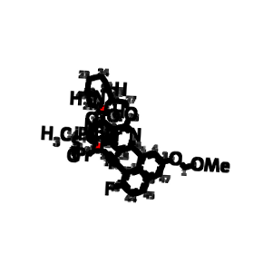 COCOc1cc(-c2nc3c4c(nc([S+](C)[O-])nc4c2F)N2C[C@H]4CC[C@@H]([C@H]2CO3)N4C(=O)OC(C)(C)C)c2c(C#C[Si](C(C)C)(C(C)C)C(C)C)c(F)ccc2c1